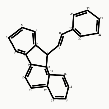 C(=CC1c2ccccc2-c2ccc3ccccc3c21)c1ccccc1